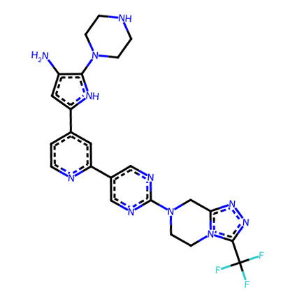 Nc1cc(-c2ccnc(-c3cnc(N4CCn5c(nnc5C(F)(F)F)C4)nc3)c2)[nH]c1N1CCNCC1